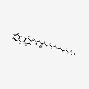 CCCCCCCCCCCCC(O)C[SiH2]Oc1ccc([I+]c2ccccc2)cc1